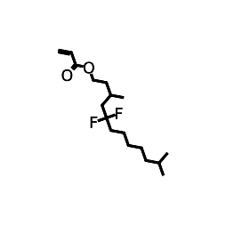 C=CC(=O)OCCC(C)CC(F)(F)CCCCCC(C)C